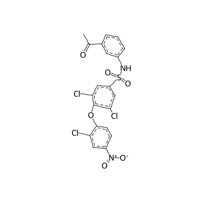 CC(=O)c1cccc(NS(=O)(=O)c2cc(Cl)c(Oc3ccc([N+](=O)[O-])cc3Cl)c(Cl)c2)c1